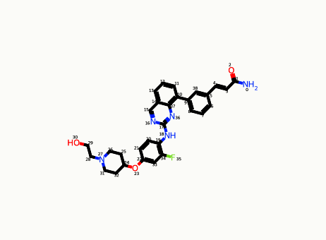 NC(=O)C=Cc1cccc(-c2cccc3cnc(Nc4ccc(OC5CCN(CCO)CC5)cc4F)nc23)c1